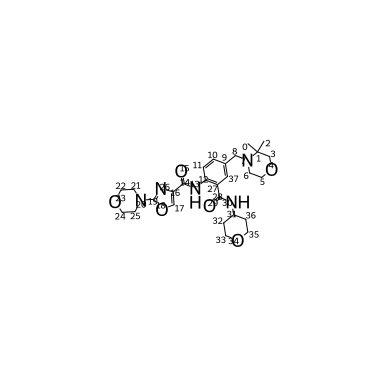 CC1(C)COCCN1Cc1ccc(NC(=O)c2coc(N3CCOCC3)n2)c(C(=O)NC2CCOCC2)c1